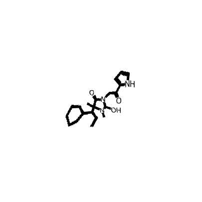 CCC(C1CCCCC1)C1(C)C(=O)N(CC(=O)c2ccc[nH]2)C(O)N1C